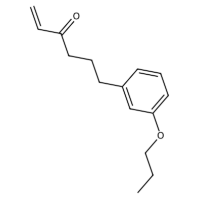 C=CC(=O)CCCc1cccc(OCCC)c1